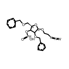 [N-]=[N+]=NCCO[C@@H]1O[C@H](COCc2ccccc2)C(O[PH](=O)O)C1OCc1ccccc1